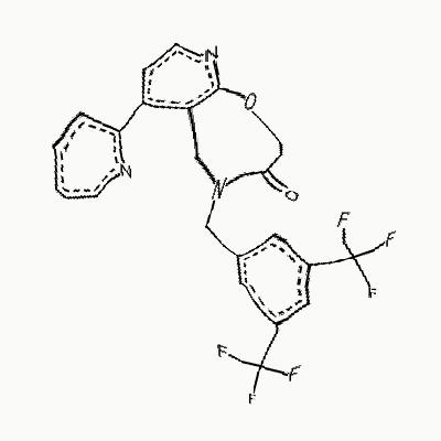 O=C1COc2nccc(-c3ccccn3)c2CN1Cc1cc(C(F)(F)F)cc(C(F)(F)F)c1